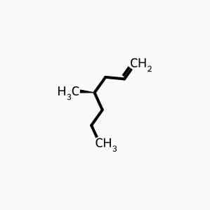 C=CC[C@H](C)CCC